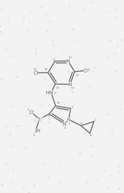 CC(C)[S+]([O-])c1nn(C2CC2)cc1Nc1nc(Cl)ncc1Cl